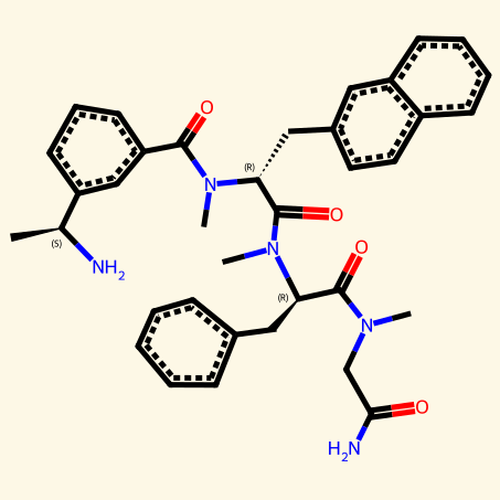 C[C@H](N)c1cccc(C(=O)N(C)[C@H](Cc2ccc3ccccc3c2)C(=O)N(C)[C@H](Cc2ccccc2)C(=O)N(C)CC(N)=O)c1